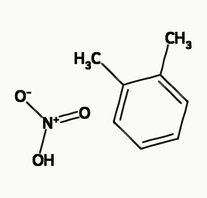 Cc1ccccc1C.O=[N+]([O-])O